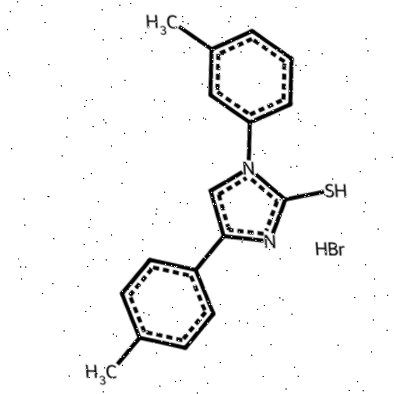 Br.Cc1ccc(-c2cn(-c3cccc(C)c3)c(S)n2)cc1